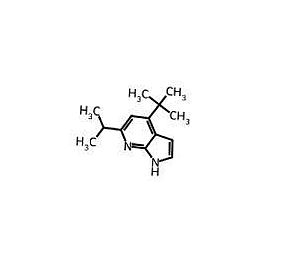 CC(C)c1cc(C(C)(C)C)c2cc[nH]c2n1